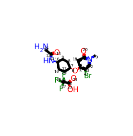 Cn1cc(Br)c(O[C@H]2CC[C@H](NC(=O)CN)CC2)cc1=O.O=C(O)C(F)(F)F